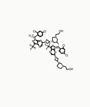 C[C@H](c1ccc(Cl)cc1Cl)n1nc(C(F)(F)F)c2ncc(N3CC([C@H]4CC(C[C@H](c5ccc(Cl)cc5Cl)n5nc(C(F)(F)F)c6ncc(N7CC([C@@H]8CCCN(CCO)C8)C7)nc65)CN(CCO)C4)C3)nc21